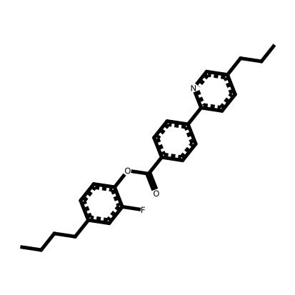 CCCCc1ccc(OC(=O)c2ccc(-c3ccc(CCC)cn3)cc2)c(F)c1